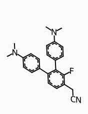 CN(C)c1ccc(-c2ccc(CC#N)c(F)c2-c2ccc(N(C)C)cc2)cc1